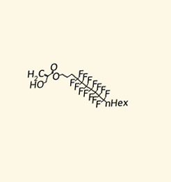 C=C(CO)C(=O)OCCCC(F)(F)C(F)(F)C(F)(F)C(F)(F)C(F)(F)C(F)(F)C(F)(F)CCCCCC